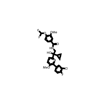 COc1cc(C(=O)NCC(O)(c2ccc(OC)c(-c3ccc(F)c(Cl)c3)n2)C2CC2)ccc1OC(F)F